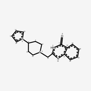 O=c1[nH]c(CN2CCC(n3cccc3)CC2)nc2ccccc12